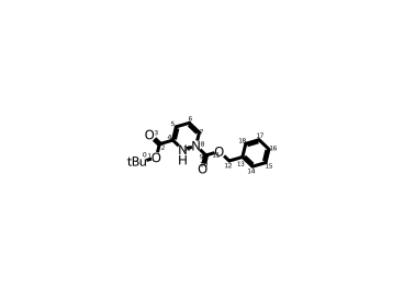 CC(C)(C)OC(=O)C1=CC=CN(C(=O)OCc2ccccc2)N1